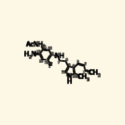 C=C/C=C\c1c(CCNc2cc(NC(C)=O)c(N)cc2F)c[nH]c1C